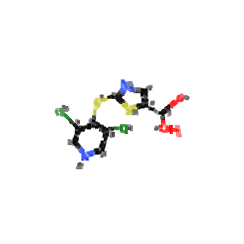 O=C(O)c1cnc(Sc2c(Cl)cncc2Cl)s1